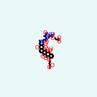 COC(=O)CCOC(=O)C1CN(C(=O)Cn2c(C)cc3c(=O)c4ccc5c(OC)c6c(=O)c7c(OCCC(=O)OC)cccc7c(=O)c6c(O)c5c4c(=O)c3c2=O)C(C)C(=O)N1